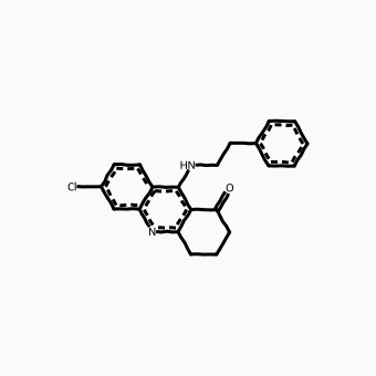 O=C1CCCc2nc3cc(Cl)ccc3c(NCCc3ccccc3)c21